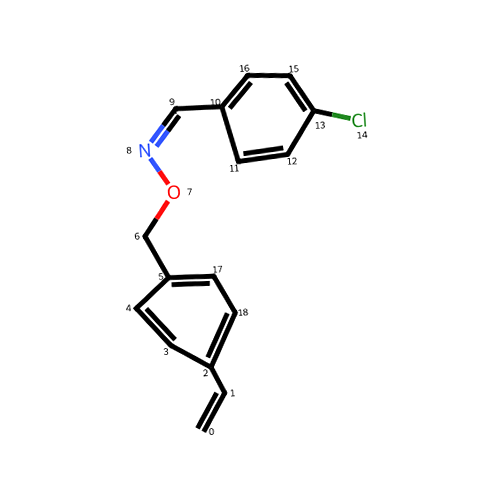 C=Cc1ccc(CO/N=[C]\c2ccc(Cl)cc2)cc1